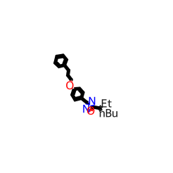 CCCCC(CC)c1nc(-c2ccc(OCCCc3ccccc3)cc2)no1